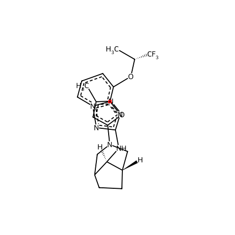 Cc1cc(N2CC3CC[C@@H](C2)[C@@H]3Nc2nc3c(O[C@H](C)C(F)(F)F)cccn3n2)on1